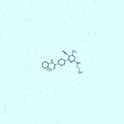 Cc1cc(NCCO)nc(-c2ccc(C(=O)Nc3ccccc3N)cc2)c1C#N